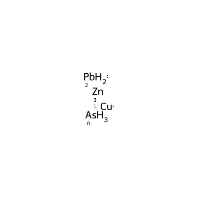 [AsH3].[Cu].[PbH2].[Zn]